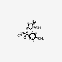 Cc1ccc(S(=O)(=O)[N-]Cl)cc1.ON1CCCC1.[Na+]